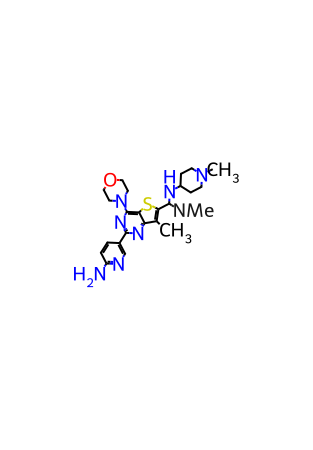 CNC(NC1CCN(C)CC1)c1sc2c(N3CCOCC3)nc(-c3ccc(N)nc3)nc2c1C